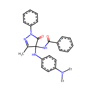 CCN(CC)c1ccc(NC2(NC(=O)c3ccccc3)C(=O)N(c3ccccc3)N=C2C)cc1